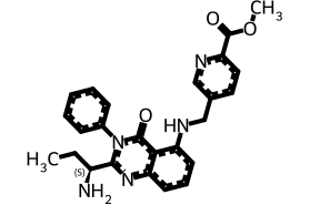 CC[C@H](N)c1nc2cccc(NCc3ccc(C(=O)OC)nc3)c2c(=O)n1-c1ccccc1